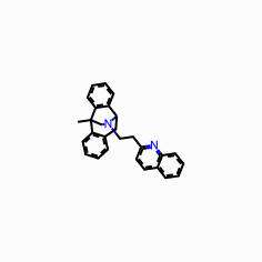 CC12CN(CCc3ccc4ccccc4n3)C(Cc3ccccc31)c1ccccc12